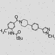 Cc1ccc(C(=O)N2CCC(c3ccc(-c4cnn(C)c4)cc3)CC2)cc1NC(=O)C(C)(C)C